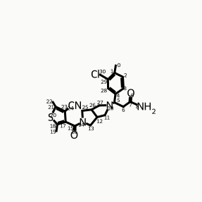 Cc1ccc(C(CC(N)=O)N2CC3CN(C(=O)c4c(C)sc(C)c4C#N)CC3C2)cc1Cl